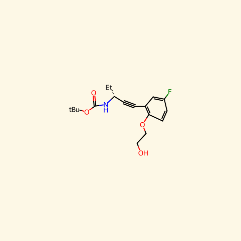 CC[C@H](C#Cc1cc(F)ccc1OCCO)NC(=O)OC(C)(C)C